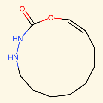 O=C1NNCCCCCCCC=CO1